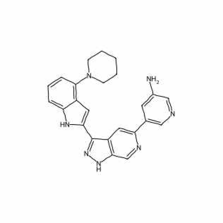 Nc1cncc(-c2cc3c(-c4cc5c(N6CCCCC6)cccc5[nH]4)n[nH]c3cn2)c1